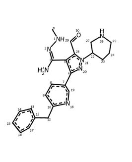 CN/N=C(/N)c1c(-c2ccc(Cc3ccccc3)nc2)nn(C2CCCNC2)c1C=O